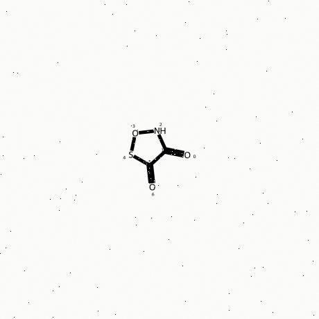 O=c1[nH]osc1=O